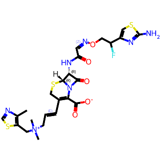 Cc1ncsc1C[N+](C)(C)C/C=C/C1=C(C(=O)[O-])N2C(=O)[C@@H](NC(=O)/C=N\OCC(F)c3csc(N)n3)[C@H]2SC1